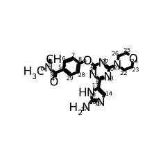 CN(C)C(=O)c1ccc(Oc2nc(-c3cnc(N)[nH]3)nc(N3CCOCC3)n2)cc1